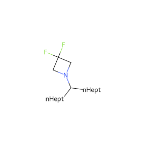 CCCCCCCC(CCCCCCC)N1CC(F)(F)C1